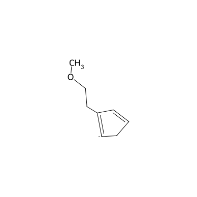 COCCC1=[C]CC=C1